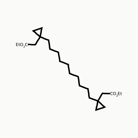 CCOC(=O)CC1(CCCCCCCCCCC2(CC(=O)OCC)CC2)CC1